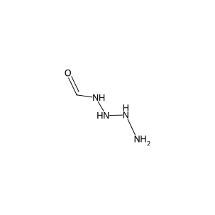 NNNNC=O